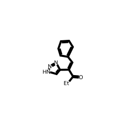 CCC(=O)C(=Cc1ccccc1)c1c[nH]nn1